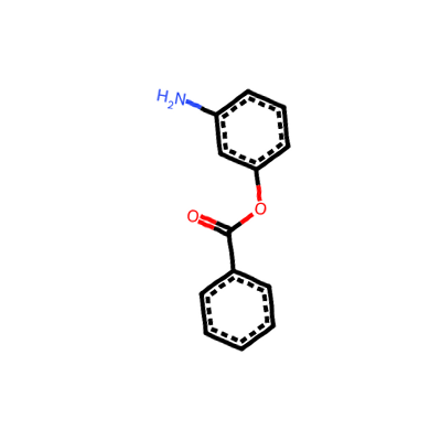 Nc1cccc(OC(=O)c2ccccc2)c1